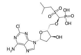 CC(C)CS(=O)(=O)[C@H](OC[C@H]1O[C@@H](n2cnc3c(N)nc(Cl)nc32)C[C@@H]1O)P(=O)(O)O